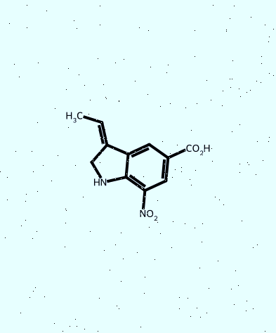 CC=C1CNc2c1cc(C(=O)O)cc2[N+](=O)[O-]